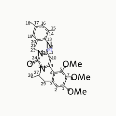 COc1cc2c(c(OC)c1OC)-c1c/c(=N/c3c(C)cc(C)cc3C)n(C)c(=O)n1C(C)C2